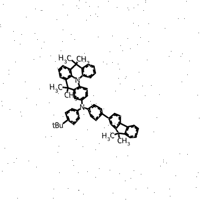 CC(C)(C)c1ccc(N(c2ccc(-c3ccc4c(c3)C(C)(C)c3ccccc3-4)cc2)c2ccc3c(c2)C(C)(C)c2cccc4c2N3c2ccccc2C4(C)C)cc1